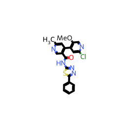 COc1cnc(Cl)cc1-c1cc(C)ncc1C(=O)Nc1nnc(-c2ccccc2)s1